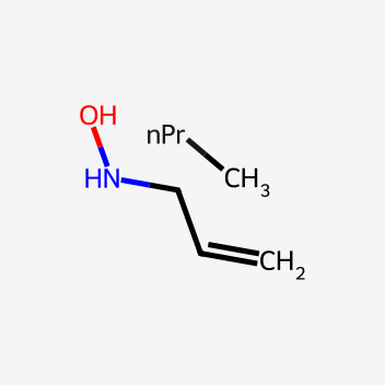 C=CCNO.CCCC